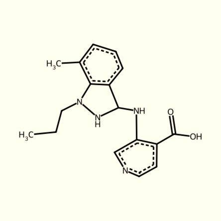 CCCN1NC(Nc2cnccc2C(=O)O)c2cccc(C)c21